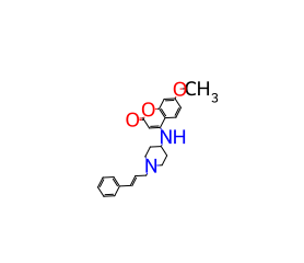 COc1ccc2c(NC3CCN(CC=Cc4ccccc4)CC3)cc(=O)oc2c1